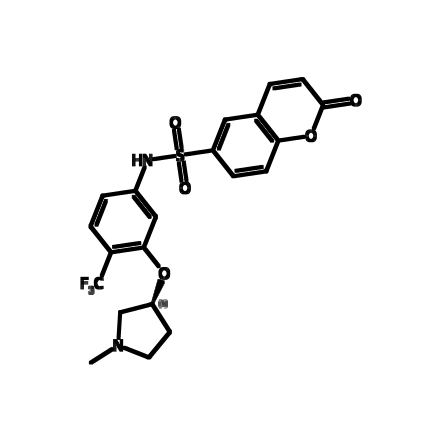 CN1CC[C@H](Oc2cc(NS(=O)(=O)c3ccc4oc(=O)ccc4c3)ccc2C(F)(F)F)C1